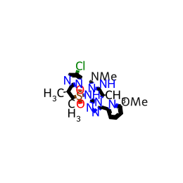 CN/C=N\C(=N)[C@H](C)n1c(NS(=O)(=O)[C@@H](C)[C@H](C)c2ncc(Cl)cn2)nnc1-c1cccc(OC)n1